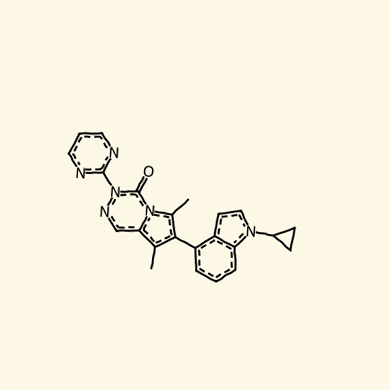 Cc1c(-c2cccc3c2ccn3C2CC2)c(C)n2c(=O)n(-c3ncccn3)ncc12